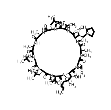 C/C=C/C[C@@H](C)[C@@H](O)[C@H]1C(=O)N[C@@H](CC)C(=O)N(C)[C@H](C)C(=O)N(C)[C@@H]([C@H](CN2CCCC2)OC)C(=O)NC(C(C)C)C(=O)N(C)[C@@H](CC(C)C)C(=O)N[C@@H](C)C(=O)N[C@H](C)C(=O)N(C)[C@@H](CC(C)C)C(=O)N(C)[C@@H](CC(C)C)C(=O)N(C)C(C(C)C)C(=O)N1C